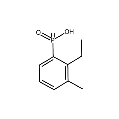 CCc1c(C)cccc1[PH](=O)O